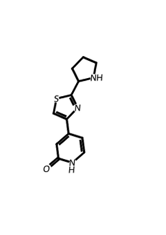 O=c1cc(-c2csc(C3CCCN3)n2)cc[nH]1